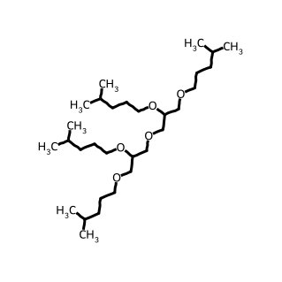 CC(C)CCCOCC(COCC(COCCCC(C)C)OCCCC(C)C)OCCCC(C)C